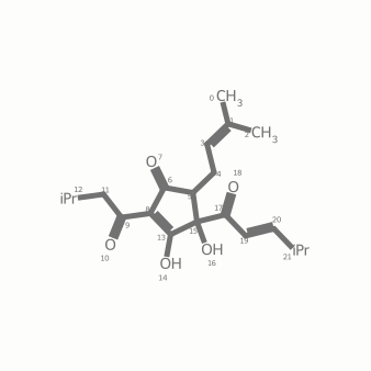 CC(C)=CCC1C(=O)C(C(=O)CC(C)C)=C(O)C1(O)C(=O)/C=C/C(C)C